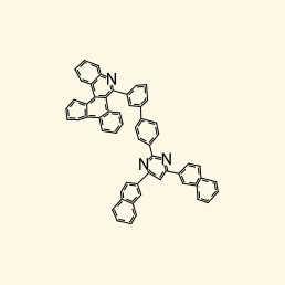 c1cc(-c2ccc(-c3nc(-c4ccc5ccccc5c4)cc(-c4ccc5ccccc5c4)n3)cc2)cc(-c2nc3ccccc3c3c4ccccc4c4ccccc4c23)c1